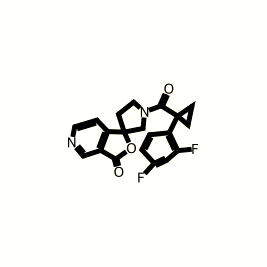 O=C1OC2(CCN(C(=O)C3(c4ccc(F)cc4F)CC3)C2)c2ccncc21